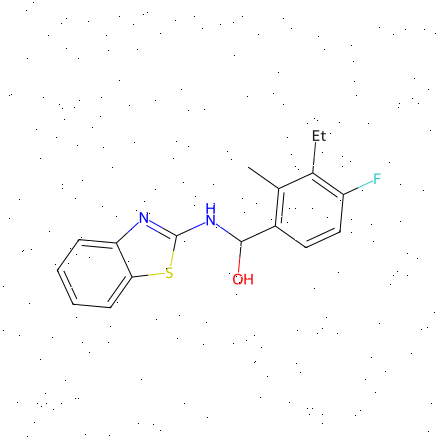 CCc1c(F)ccc(C(O)Nc2nc3ccccc3s2)c1C